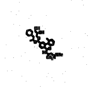 CSCCC(NC(=O)c1ccc(C(OCC(O)CO)OC(C)CC2CCCCC2)cc1-c1ccccc1C)C(=O)O